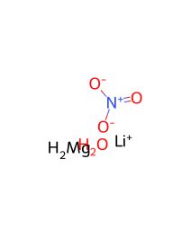 O.O=[N+]([O-])[O-].[Li+].[MgH2]